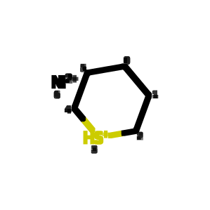 C1CC[SH+]CC1.[Ni+2]